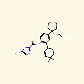 CC1(C)C=CC(c2cc(C3(OCC(=O)O)CCOCC3)ccc2NC(=O)c2ncc(C#N)[nH]2)CC1